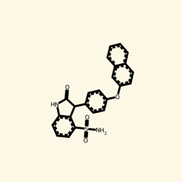 NS(=O)(=O)c1cccc2c1C(c1ccc(Oc3ccc4ccccc4c3)cc1)C(=O)N2